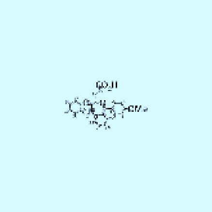 COc1ccc([C@@H]2O[C@@H](CCC(=O)O)C(=O)N(Cc3ccccc3)c3ccccc32)cc1